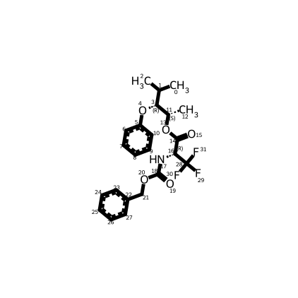 CC(C)[C@@H](Oc1ccccc1)[C@H](C)OC(=O)[C@@H](NC(=O)OCc1ccccc1)C(F)(F)F